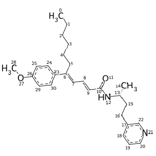 CCCCCC/C(=C\C=C\C(=O)N[C@H](C)CCc1cccnc1)c1ccc(OC)cc1